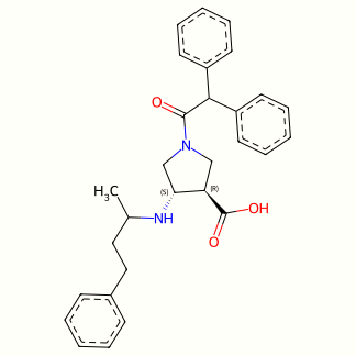 CC(CCc1ccccc1)N[C@@H]1CN(C(=O)C(c2ccccc2)c2ccccc2)C[C@H]1C(=O)O